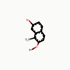 CC(C)Oc1ccc2ccc(Br)cc2c1[N+](=O)[O-]